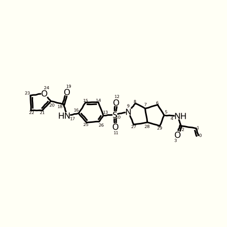 C=CC(=O)NC1CC2CN(S(=O)(=O)c3ccc(NC(=O)c4ccco4)cc3)CC2C1